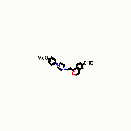 COc1ccc(N2CCN(CCC3OCCc4cc(C=O)ccc43)CC2)cc1